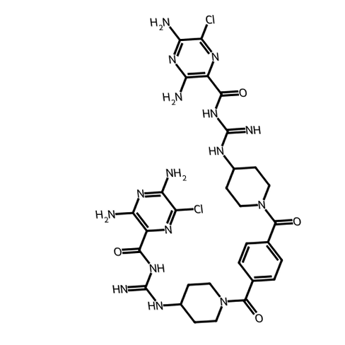 N=C(NC(=O)c1nc(Cl)c(N)nc1N)NC1CCN(C(=O)c2ccc(C(=O)N3CCC(NC(=N)NC(=O)c4nc(Cl)c(N)nc4N)CC3)cc2)CC1